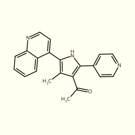 CC(=O)c1c(-c2ccncc2)[nH]c(-c2ccnc3ccccc23)c1C